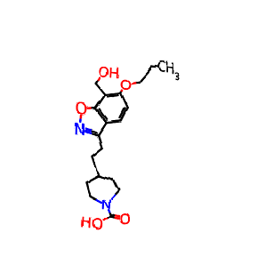 CCCOc1ccc2c(CCC3CCN(C(=O)O)CC3)noc2c1CO